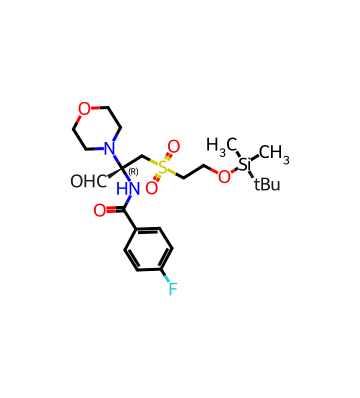 CC(C)(C)[Si](C)(C)OCCS(=O)(=O)C[C@](C=O)(NC(=O)c1ccc(F)cc1)N1CCOCC1